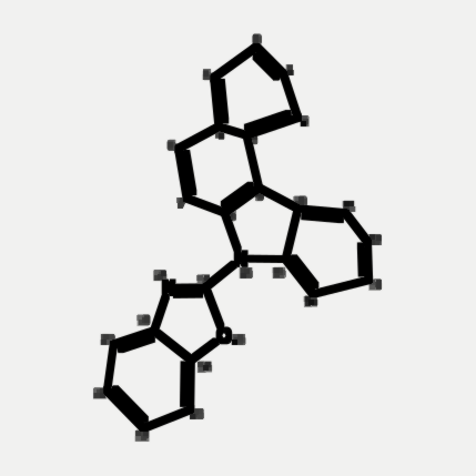 c1ccc2c(c1)ccc1c2c2ccccc2n1-c1nc2ccccc2o1